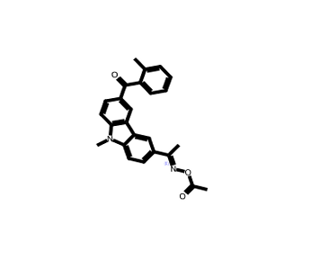 CC(=O)O/N=C(\C)c1ccc2c(c1)c1cc(C(=O)c3ccccc3C)ccc1n2C